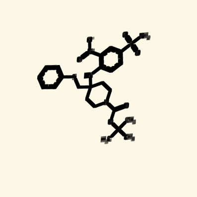 CC(C)(C)OC(=O)N1CCC(CSc2ccccc2)(Nc2ccc(S(N)(=O)=O)cc2[N+](=O)[O-])CC1